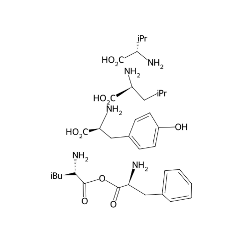 CC(C)C[C@H](N)C(=O)O.CC(C)[C@H](N)C(=O)O.CC[C@H](C)[C@H](N)C(=O)OC(=O)[C@@H](N)Cc1ccccc1.N[C@@H](Cc1ccc(O)cc1)C(=O)O